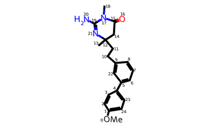 COc1ccc(-c2cccc(CCC3(C)CC(=O)N(C)C(N)=N3)c2)cc1